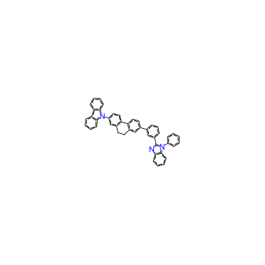 c1ccc(-n2c(-c3cccc(-c4ccc5c(c4)CCc4cc(-n6c7ccccc7c7ccccc76)ccc4-5)c3)nc3ccccc32)cc1